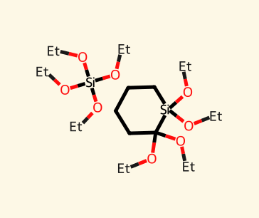 CCOC1(OCC)CCCC[Si]1(OCC)OCC.CCO[Si](OCC)(OCC)OCC